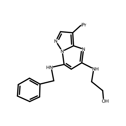 CC(C)c1cnn2c(NCc3ccccc3)cc(NCCO)nc12